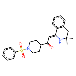 CC1(C)Cc2ccccc2C(=CC(=O)C2CCN(S(=O)(=O)c3ccccc3)CC2)N1